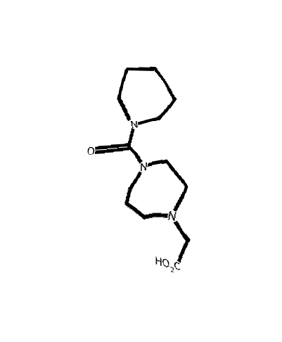 O=C(O)CN1CCN(C(=O)N2CCCCC2)CC1